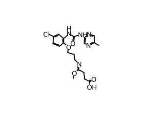 COC(CCC(=O)O)=NCCCOc1ccc(Cl)cc1NC(=O)Nc1cnc(C)cn1